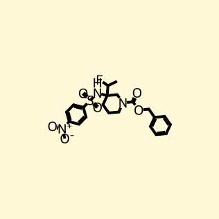 CC(F)C1(NS(=O)(=O)c2ccc([N+](=O)[O-])cc2)CCCN(C(=O)OCc2ccccc2)C1